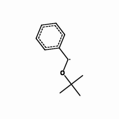 CC(C)(C)O[CH]c1ccccc1